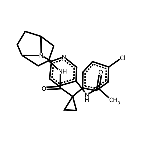 CC(=O)Nc1ccc(N2C3CCC2CC(NC(=O)C2(c4ccc(Cl)cc4)CC2)C3)nc1